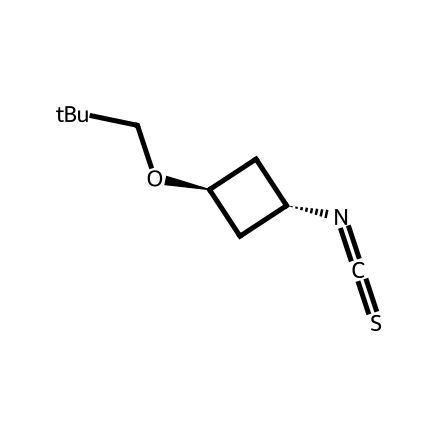 CC(C)(C)CO[C@H]1C[C@H](N=C=S)C1